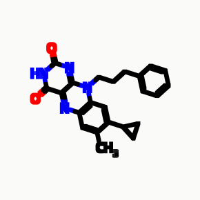 Cc1cc2nc3c(=O)[nH]c(=O)nc-3n(CCCc3ccccc3)c2cc1C1CC1